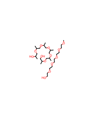 CC(O)COC(C)COC(C)COC(C)COC(C)COC(C)CO.COCCOCCOCCOCCOCCO